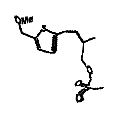 COCc1ccc(CC(C)COS(C)(=O)=O)s1